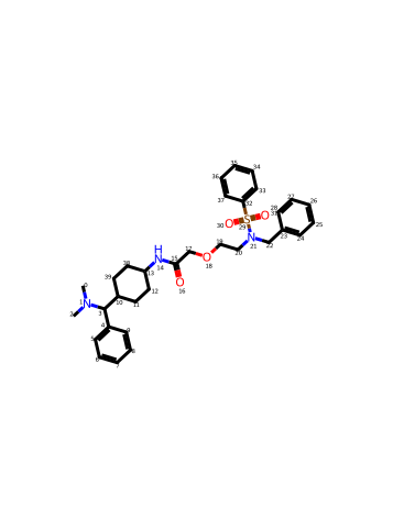 CN(C)C(c1ccccc1)C1CCC(NC(=O)COCCN(Cc2ccccc2)S(=O)(=O)c2ccccc2)CC1